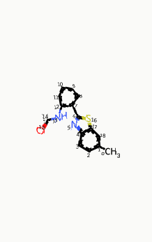 Cc1ccc2nc(-c3ccccc3N[C]=O)sc2c1